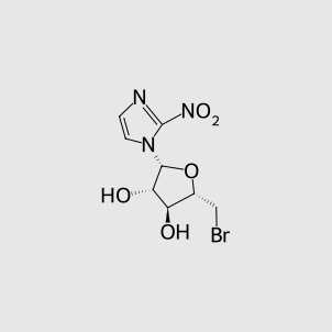 O=[N+]([O-])c1nccn1[C@@H]1O[C@H](CBr)[C@@H](O)[C@@H]1O